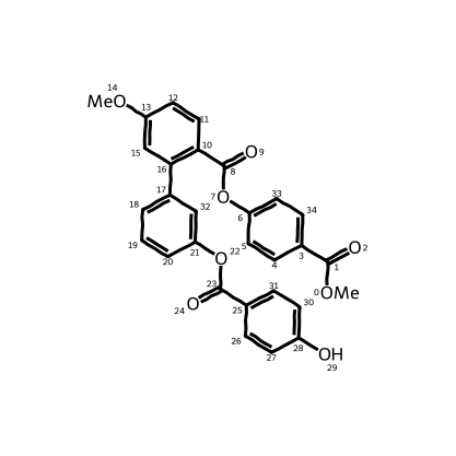 COC(=O)c1ccc(OC(=O)c2ccc(OC)cc2-c2cccc(OC(=O)c3ccc(O)cc3)c2)cc1